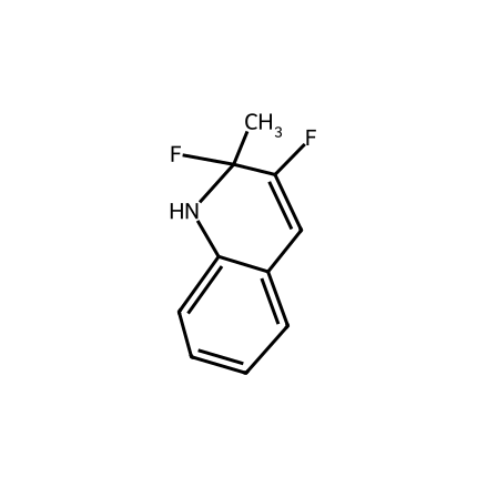 CC1(F)Nc2ccccc2C=C1F